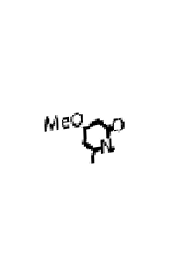 COC1CC(=O)N(C)C(C)C1